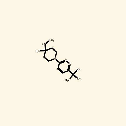 CNC1(C)CCN(c2ccc(C(C)(C)C)nn2)CC1